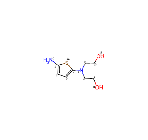 Nc1ccc(N(CCO)CCO)s1